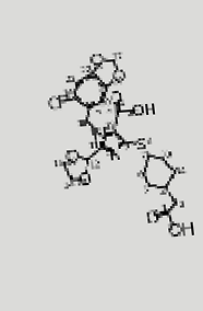 O=C(O)C[C@H]1CC[C@H](Sc2nc(C3OCCO3)n(Cc3cc4c(cc3Cl)OCO4)c2C(=O)O)CC1